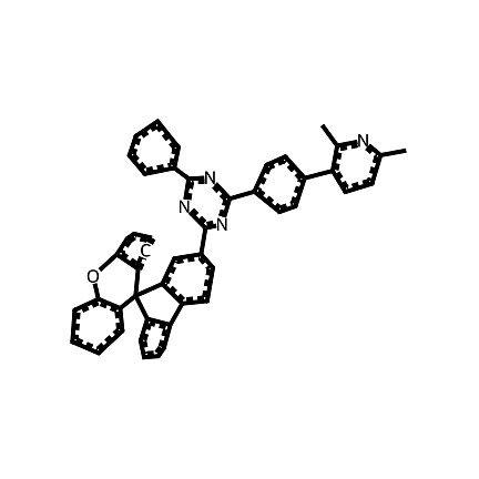 Cc1ccc(-c2ccc(-c3nc(-c4ccccc4)nc(-c4ccc5c(c4)C4(c6ccccc6Oc6ccccc64)c4ccccc4-5)n3)cc2)c(C)n1